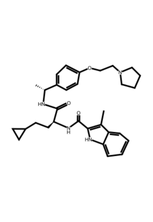 Cc1c(C(=O)N[C@@H](CCC2CC2)C(=O)N[C@H](C)c2ccc(OCCN3CCCC3)cc2)[nH]c2ccccc12